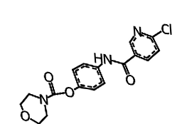 O=C(Nc1ccc(OC(=O)N2CCOCC2)cc1)c1ccc(Cl)nc1